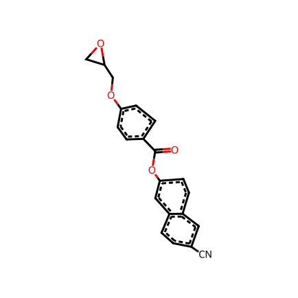 N#Cc1ccc2cc(OC(=O)c3ccc(OCC4CO4)cc3)ccc2c1